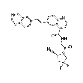 N#C[C@@H]1CC(F)(F)CN1C(=O)CNC(=O)c1ccnc2ccc(/C=C/c3ccc4ncncc4c3)cc12